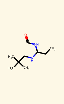 CCC(N[C]=O)NCC(C)(C)C